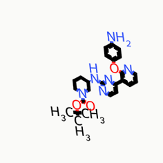 CC(C)(C)OC(=O)N1CCC[C@H](Nc2nccc(-c3cccnc3Oc3ccc(N)cc3)n2)C1